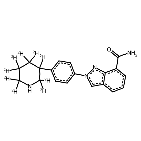 [2H]C1([2H])NC([2H])([2H])C([2H])(c2ccc(-n3cc4cccc(C(N)=O)c4n3)cc2)C([2H])([2H])C1([2H])[2H]